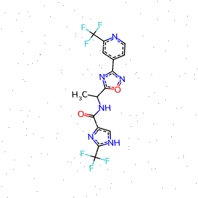 CC(NC(=O)c1c[nH]c(C(F)(F)F)n1)c1nc(-c2ccnc(C(F)(F)F)c2)no1